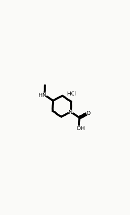 CNC1CCN(C(=O)O)CC1.Cl